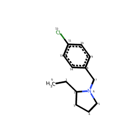 CCC1CCCN1Cc1ccc(Cl)cc1